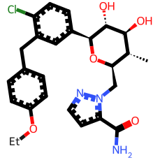 CCOc1ccc(Cc2cc([C@@H]3O[C@H](Cn4nccc4C(N)=O)[C@@H](C)[C@H](O)[C@H]3O)ccc2Cl)cc1